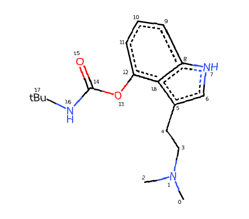 CN(C)CCc1c[nH]c2cccc(OC(=O)NC(C)(C)C)c12